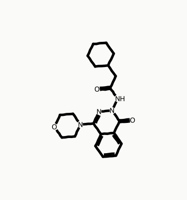 O=C(CC1CCCCC1)Nn1nc(N2CCOCC2)c2ccccc2c1=O